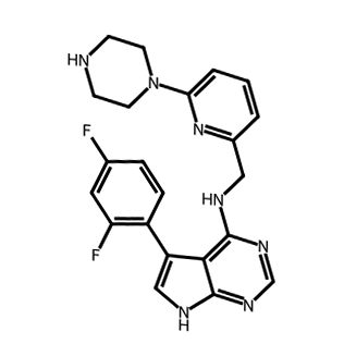 Fc1ccc(-c2c[nH]c3ncnc(NCc4cccc(N5CCNCC5)n4)c23)c(F)c1